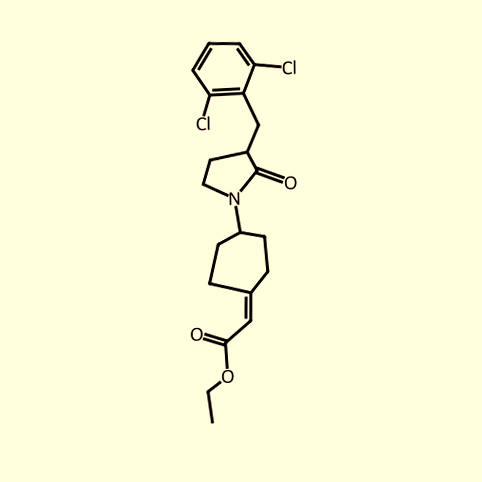 CCOC(=O)C=C1CCC(N2CCC(Cc3c(Cl)cccc3Cl)C2=O)CC1